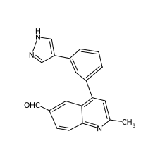 Cc1cc(-c2cccc(-c3cn[nH]c3)c2)c2cc(C=O)ccc2n1